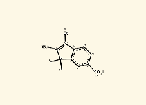 CC[N+]1=C(C(C)(C)C)C(C)(C)c2cc(S(=O)(=O)O)ccc21